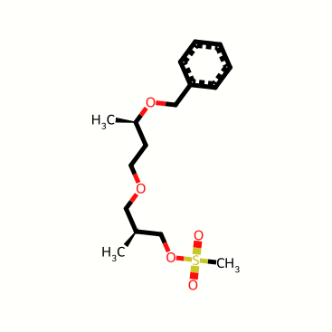 C[C@@H](COCC[C@@H](C)OCc1ccccc1)COS(C)(=O)=O